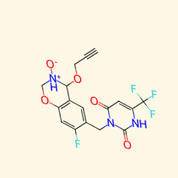 C#CCOC1c2cc(Cn3c(=O)cc(C(F)(F)F)[nH]c3=O)c(F)cc2OC[NH+]1[O-]